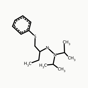 CCC(CSc1ccccc1)[N]N(C(C)C)C(C)C